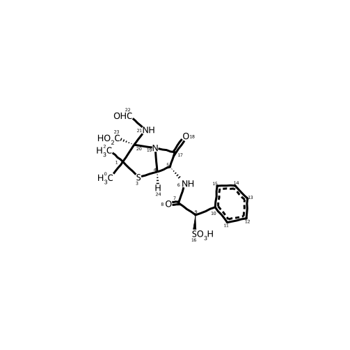 CC1(C)S[C@@H]2[C@@H](NC(=O)[C@@H](c3ccccc3)S(=O)(=O)O)C(=O)N2[C@@]1(NC=O)C(=O)O